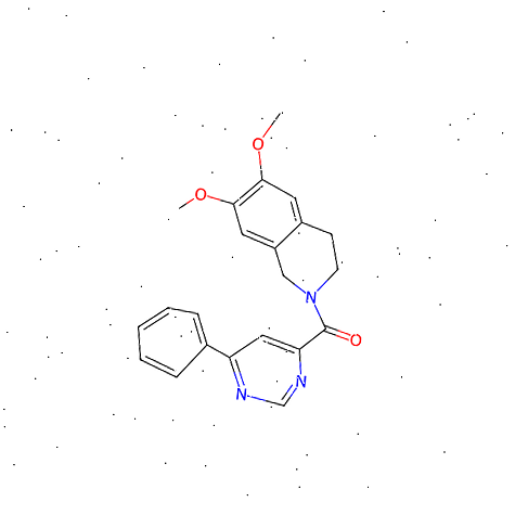 COc1cc2c(cc1OC)CN(C(=O)c1cc(-c3ccccc3)ncn1)CC2